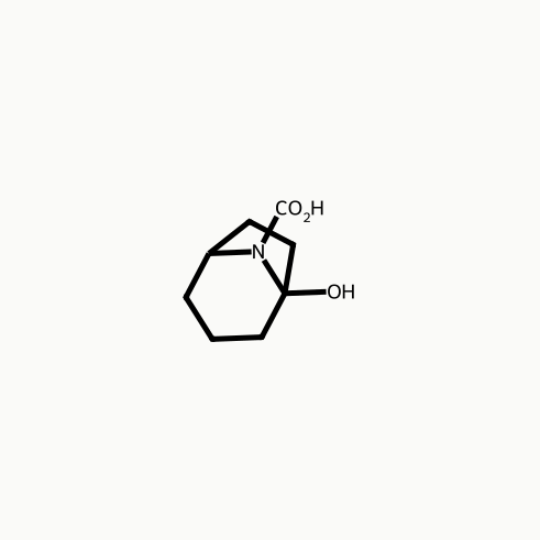 O=C(O)N1C2CCCC1(O)CC2